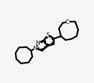 c1c(C2CCCCCCCC2)sc2nn(C3CCCCCCC3)cc12